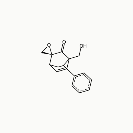 O=C1C2(CO)C=CC(CC2c2ccccc2)[C@@]12CO2